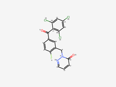 O=C(c1ccc(F)c(Cn2ncccc2=O)c1)c1c(Cl)cc(Cl)cc1Cl